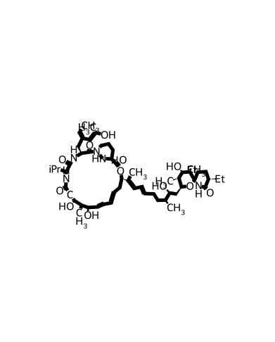 C/C=C(\C=C(/C)O)C[C@@H]1NC(=O)C(C(C)C)NC(=O)C[C@H](O)C(C)[C@H](O)/C=C/C=C/C[C@@H](/C(C)=C/C=C/CC[C@H](C)[C@@H](O)C[C@@H]2O[C@@]3(NC(=O)[C@@H](CC)C[C@@H]3CC)[C@@H](C)[C@@H](O)[C@H]2C)OC(=O)[C@@H]2CCCN(N2)C1=O